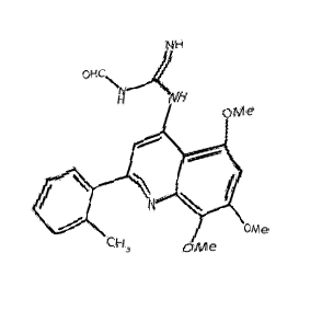 COc1cc(OC)c2c(NC(=N)NC=O)cc(-c3ccccc3C)nc2c1OC